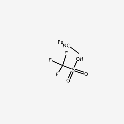 CC#N.O=S(=O)(O)C(F)(F)F.[Fe]